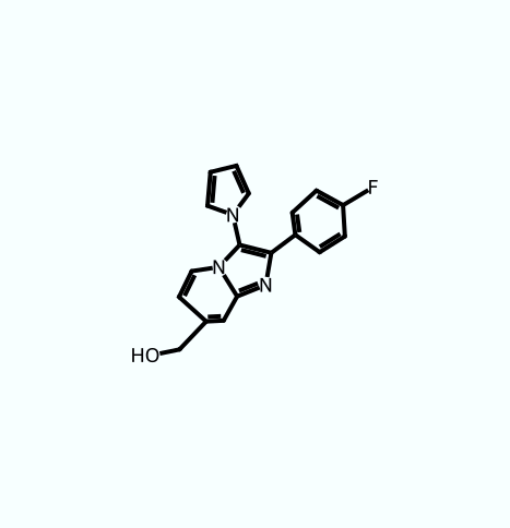 OCc1ccn2c(-n3cccc3)c(-c3ccc(F)cc3)nc2c1